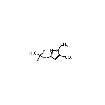 Cn1nc(OC(C)(F)F)cc1C(=O)O